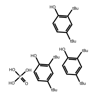 CC(C)(C)c1ccc(O)c(C(C)(C)C)c1.CC(C)(C)c1ccc(O)c(C(C)(C)C)c1.CC(C)(C)c1ccc(O)c(C(C)(C)C)c1.O=P(O)(O)O